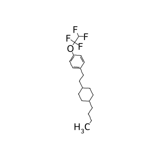 CCCCC1CCC(CCc2ccc(OC(F)(F)C(F)F)cc2)CC1